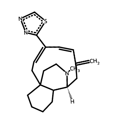 C=C1/C=C\C(c2nncs2)=C/CC23CCCCC2[C@H](C1)N(C)CC3